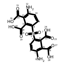 Nc1ccc(S(=O)(=O)c2ccc(N)c(C(=O)O)c2C(=O)O)c(C(=O)O)c1C(=O)O